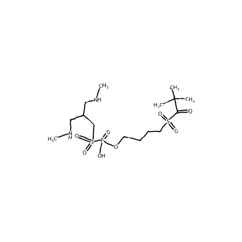 CNCC(CNC)CS(=O)(=O)P(=O)(O)OCCCCS(=O)(=O)C(=O)C(C)(C)C